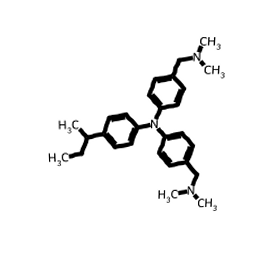 CCC(C)c1ccc(N(c2ccc(CN(C)C)cc2)c2ccc(CN(C)C)cc2)cc1